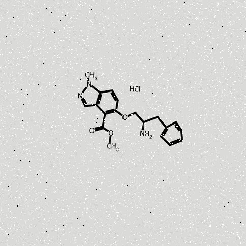 COC(=O)c1c(OC[C@H](N)Cc2ccccc2)ccc2c1cnn2C.Cl